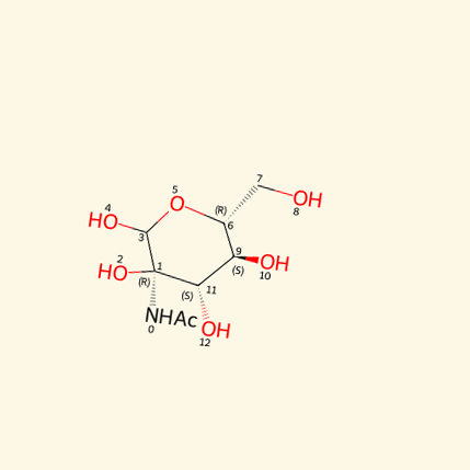 CC(=O)N[C@]1(O)C(O)O[C@H](CO)[C@@H](O)[C@@H]1O